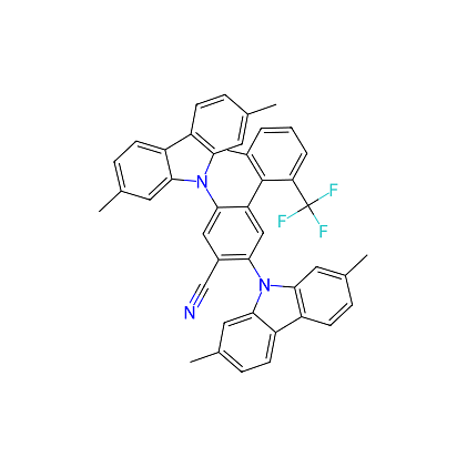 Cc1ccc2c3ccc(C)cc3n(-c3cc(-c4c(C)cccc4C(F)(F)F)c(-n4c5cc(C)ccc5c5ccc(C)cc54)cc3C#N)c2c1